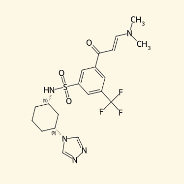 CN(C)C=CC(=O)c1cc(C(F)(F)F)cc(S(=O)(=O)N[C@H]2CCC[C@@H](n3cnnc3)C2)c1